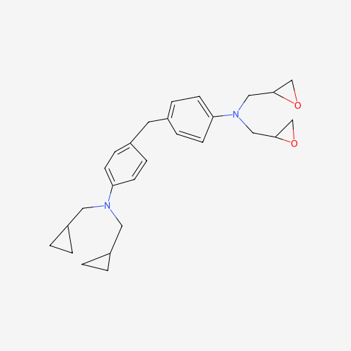 c1cc(N(CC2CC2)CC2CC2)ccc1Cc1ccc(N(CC2CO2)CC2CO2)cc1